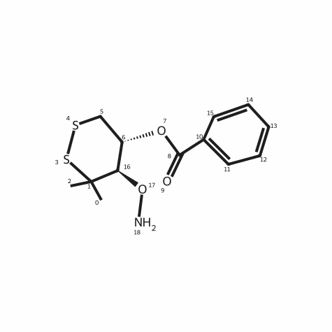 CC1(C)SSC[C@H](OC(=O)c2ccccc2)[C@H]1ON